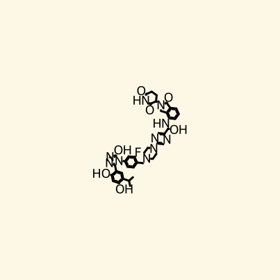 CC(C)c1cc(-c2nnc(O)n2-c2ccc(CN3CCN(c4cnc(C(O)Nc5cccc6c5CN(C5CCC(=O)NC5=O)C6=O)cn4)CC3)c(F)c2)c(O)cc1O